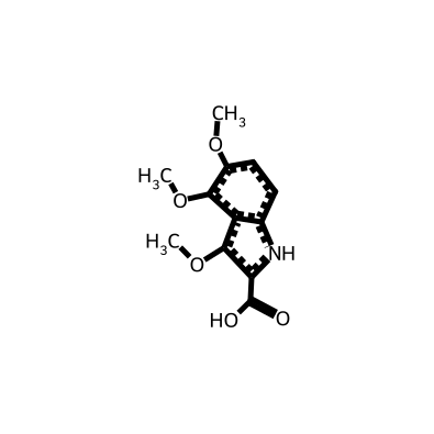 COc1ccc2[nH]c(C(=O)O)c(OC)c2c1OC